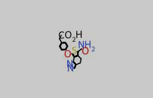 Cn1cc2c(n1)-c1c(Oc3ccc(CC(=O)O)cc3)sc(C(N)=O)c1CC2